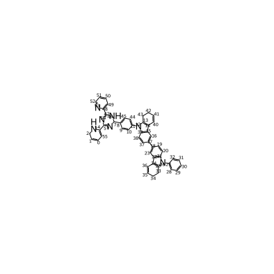 C1=CCNC(C2=NC(c3ccc(-n4c5c(c6cc(-c7ccc8c(c7)c7c(n8-c8ccccc8)CCC=C7)ccc64)C=CCC5)cc3)NC(c3ccccn3)=N2)=C1